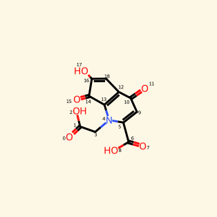 O=C(O)Cn1c(C(=O)O)cc(=O)c2c1C(=O)C(O)=C2